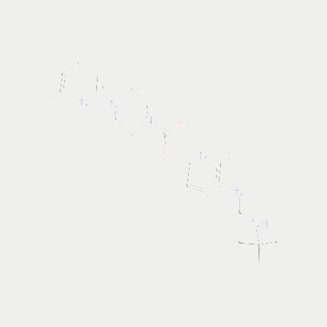 Cc1ccc(N2CCN(C(=O)Oc3ccc(NC(=S)NC(C)(C)C)cn3)CC2)nc1